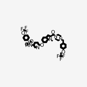 Cn1c(C(=O)N2CCN(Cc3ccc(OCC(F)(F)F)cc3)CC2)cc2ccc(Oc3ccc(NS(=O)(=O)c4ccc(OC(F)(F)F)cc4)cn3)cc21